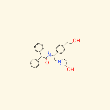 CN(C(=O)C(c1ccccc1)c1ccccc1)C(CN1CCC(O)C1)c1ccc(CCO)cc1